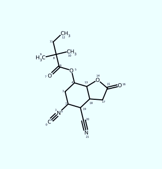 [C-]#[N+]C1CC(OC(=O)C(C)(C)CC)C2OC(=O)CC2C1C#N